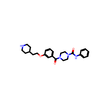 O=C(Nc1ccccc1)N1CCN(C(=O)c2cccc(OCCC3CCNCC3)c2)CC1